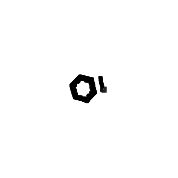 [CH2]Cl.[c]1ccccc1